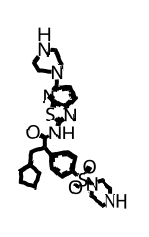 O=C(Nc1nc2ccc(N3CCNCC3)nc2s1)C(CC1CCCC1)c1ccc(S(=O)(=O)N2CCNCC2)cc1